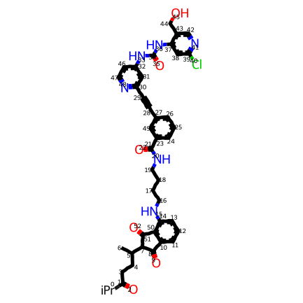 CC(C)C(=O)CCC(C)C1C(=O)c2cccc(NCCCCNC(=O)c3cccc(C#Cc4cc(NC(=O)Nc5cc(Cl)ncc5CO)ccn4)c3)c2C1=O